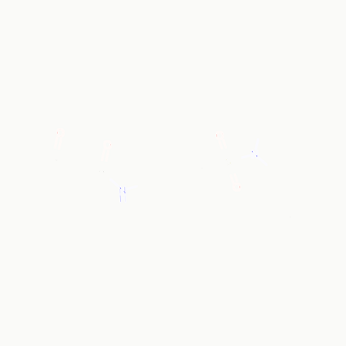 CC(=O)CC(=O)Nc1ccc(S(=O)(=O)N(C)c2ccccc2)cc1